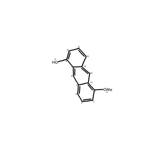 COc1cccc2cc3c(O)cccc3cc12